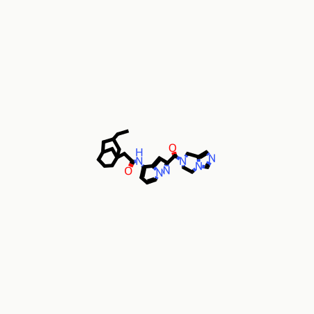 CCC1CC2CCCC(CC(=O)Nc3cccn4nc(C(=O)N5CCn6cncc6C5)cc34)(C1)C2